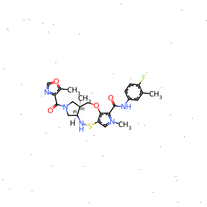 Cc1cc(NC(=O)c2c3c(cn2C)SN[C@H]2CN(C(=O)c4ncoc4C)C[C@@]2(C)CO3)ccc1F